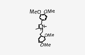 COc1ccc(CCN2C(C)=CC(c3ccc(OC)c(OC)c3)N2C)c(OC)c1